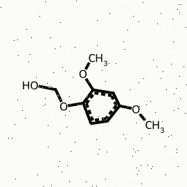 COc1ccc(OCO)c(OC)c1